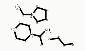 CC(N)N1CCOCC1.NCN1CCCC1.[CH2]CCC